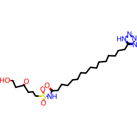 O=C(CCO)CCCS(=O)(=O)NC(=O)CCCCCCCCCCCCCCCc1nnn[nH]1